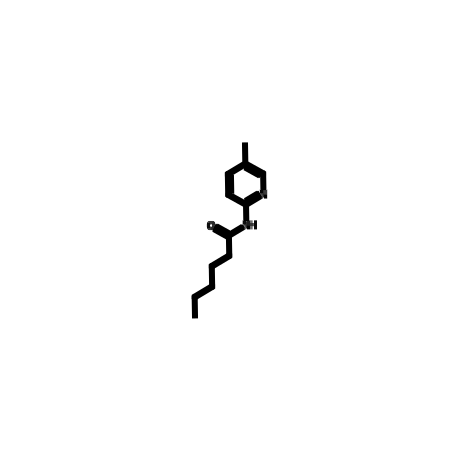 CCCCCC(=O)Nc1ccc(C)cn1